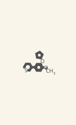 COc1ccc(C2CCCSC2)cc1OC1CCCC1